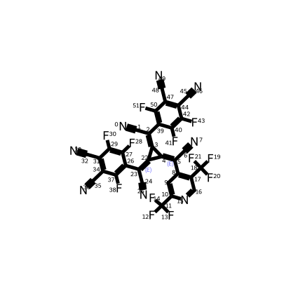 N#CC(=C1C(=C(\C#N)c2cc(C(F)(F)F)ncc2C(F)(F)F)/C1=C(\C#N)c1c(F)c(F)c(C#N)c(C#N)c1F)c1c(F)c(F)c(C#N)c(C#N)c1F